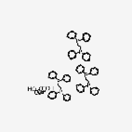 CC(=O)O.CC(=O)O.[Cu+].[Cu+].c1ccc(P(CCP(c2ccccc2)c2ccccc2)c2ccccc2)cc1.c1ccc(P(CCP(c2ccccc2)c2ccccc2)c2ccccc2)cc1.c1ccc(P(CCP(c2ccccc2)c2ccccc2)c2ccccc2)cc1